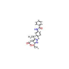 CCc1nn(Cc2ccc(NC(=O)c3ccccc3)cc2)c(CC)c1CC(=O)O